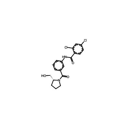 O=C(Nc1c[c]cc(C(=O)N2CCC[C@@H]2CO)c1)c1ccc(Cl)cc1Cl